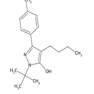 CCCCc1c(-c2ccc(C)cc2)nn(C(C)(C)C)c1O